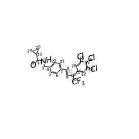 O=C(NCc1ccc(/C=C/C(c2cc(Cl)c(Cl)c(Cl)c2)C(F)(F)F)cc1)C1CC1